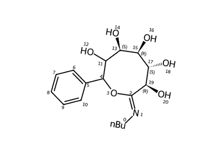 CCCCN=C1OC(c2ccccc2)C(O)[C@@H](O)[C@@H](O)[C@H](O)[C@H]1O